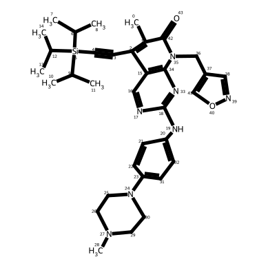 Cc1c(C#C[Si](C(C)C)(C(C)C)C(C)C)c2cnc(Nc3ccc(N4CCN(C)CC4)cc3)nc2n(Cc2cnoc2)c1=O